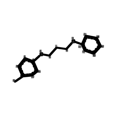 Cc1ccc(OCCCOc2ccccc2)cc1